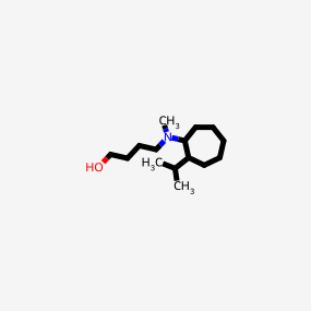 CC(C)C1CCCCCC1N(C)CCCCO